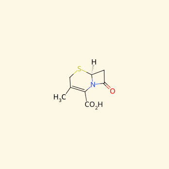 CC1=C(C(=O)O)N2C(=O)C[C@@H]2SC1